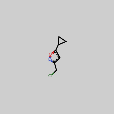 ClCc1cc(C2CC2)on1